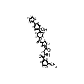 CN(C1CCC(O)(c2ccc(-c3ncco3)cc2)CC1)[C@H]1CCN(C(=O)CNC(=O)c2cccc(C(F)(F)F)c2)C1